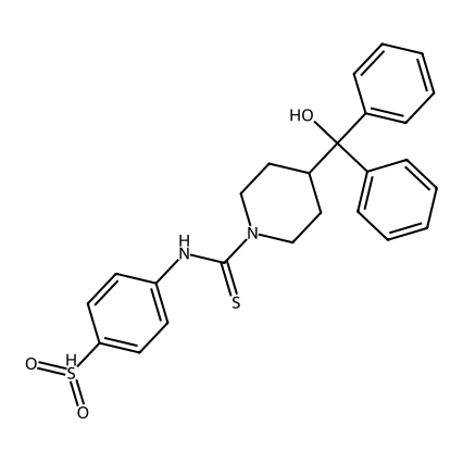 O=[SH](=O)c1ccc(NC(=S)N2CCC(C(O)(c3ccccc3)c3ccccc3)CC2)cc1